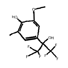 COc1cc(C(O)(C(F)(F)F)C(F)(F)F)cc(C)c1O